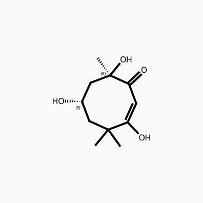 CC1(C)C[C@H](O)C[C@@](C)(O)C(=O)C=C1O